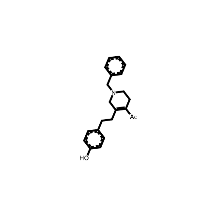 CC(=O)C1=C(CCc2ccc(O)cc2)CN(Cc2ccccc2)CC1